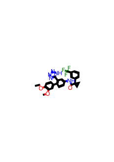 CCOc1ccc(-c2ccc(NC(=O)C3(c4cccc(C(F)(F)F)c4)CC3)cc2-c2nnn[nH]2)cc1OC